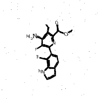 COC(=O)c1nc(-c2ccc3cc[nH]c3c2F)c(F)c(N)c1C